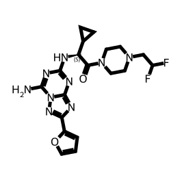 Nc1nc(N[C@H](C(=O)N2CCN(CC(F)F)CC2)C2CC2)nc2nc(-c3ccco3)nn12